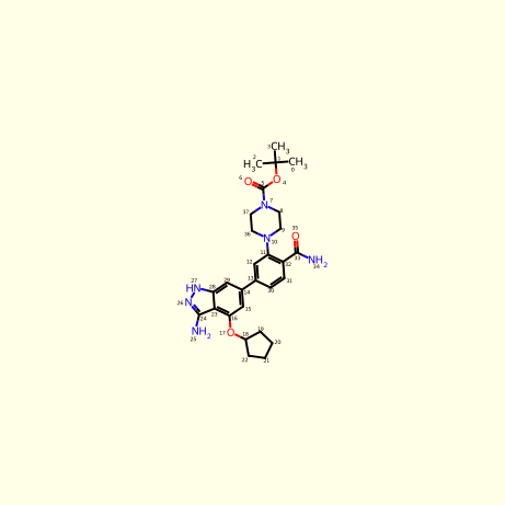 CC(C)(C)OC(=O)N1CCN(c2cc(-c3cc(OC4CCCC4)c4c(N)n[nH]c4c3)ccc2C(N)=O)CC1